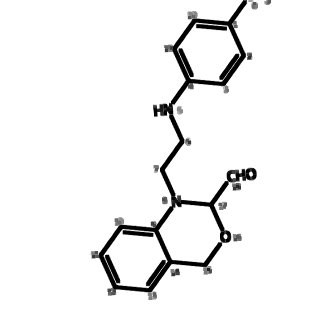 Cc1ccc(NCCN2c3ccccc3COC2C=O)cc1